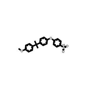 COc1ccc(C(C)(C)c2ccc(Oc3ccc([SH](=O)=O)cc3)cc2)cc1